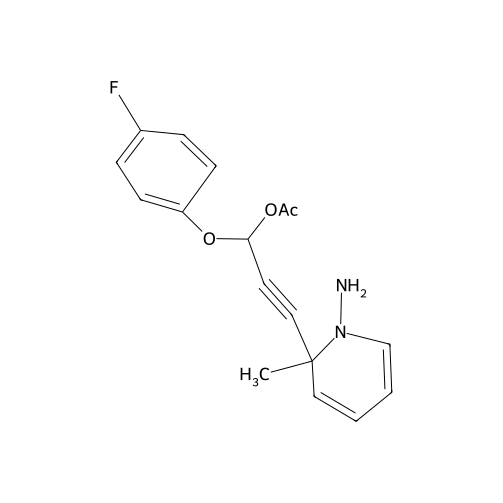 CC(=O)OC(C#CC1(C)C=CC=CN1N)Oc1ccc(F)cc1